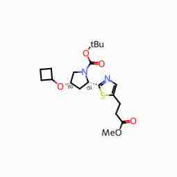 COC(=O)CCc1cnc([C@@H]2C[C@H](OC3CCC3)CN2C(=O)OC(C)(C)C)s1